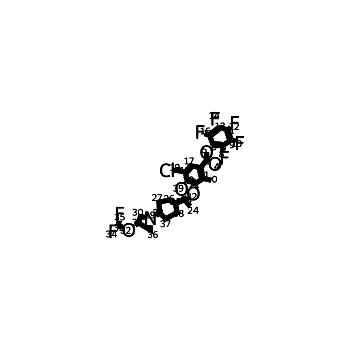 Cc1c(C(=O)Oc2c(F)c(F)c(F)c(F)c2F)cc(Cl)c2c1OC(C)(C1CCC(N3CC(OC(F)F)C3)CC1)O2